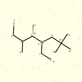 CC(CI)[C@H](C)N(CI)CC(C)(C)C